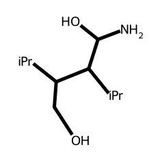 CC(C)C(CO)C(C(C)C)C(N)O